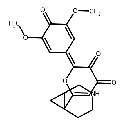 COC1=CC(=C2OC(C34CCNC5C3C54)=CC(=O)C2=O)C=C(OC)C1=O